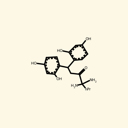 CCCC(N)(N)C(=O)CC(c1ccc(O)cc1O)c1ccc(O)cc1O